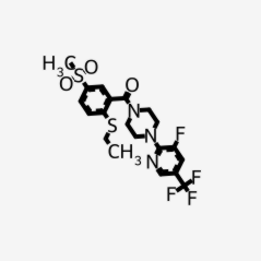 CCSc1ccc(S(C)(=O)=O)cc1C(=O)N1CCN(c2ncc(C(F)(F)F)cc2F)CC1